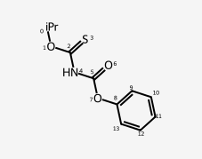 CC(C)OC(=S)NC(=O)Oc1ccccc1